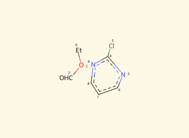 CCOC=O.Clc1ncccn1